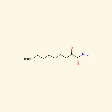 CCCCCCCCCCCCCC(=O)C(N)=O